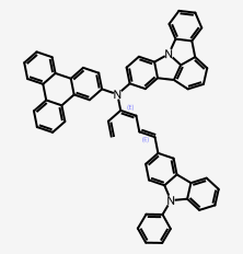 C=C/C(=C\C=C\c1ccc2c(c1)c1ccccc1n2-c1ccccc1)N(c1ccc2c3ccccc3c3ccccc3c2c1)c1ccc2c(c1)c1cccc3c4ccccc4n2c31